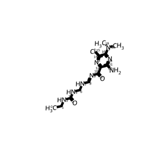 CCNC(=O)NCNC=NC(=O)c1nc(Cl)c(N(C)C)nc1N